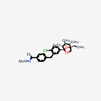 CCC(=NOC)c1ccc(Cc2cc([C@]34OC[C@](COC(C)=O)(O3)[C@@H](OC(C)=O)[C@H](OC(C)=O)[C@H]4OC(C)=O)ccc2Cl)cc1